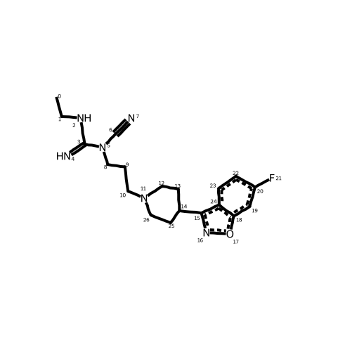 CCNC(=N)N(C#N)CCCN1CCC(c2noc3cc(F)ccc23)CC1